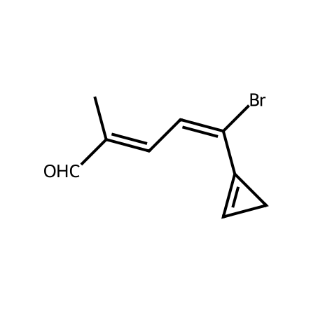 C/C(C=O)=C\C=C(\Br)C1=CC1